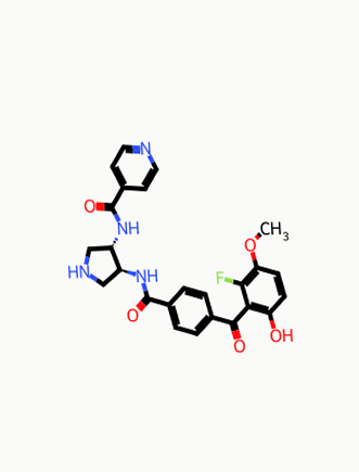 COc1ccc(O)c(C(=O)c2ccc(C(=O)N[C@H]3CNC[C@@H]3NC(=O)c3ccncc3)cc2)c1F